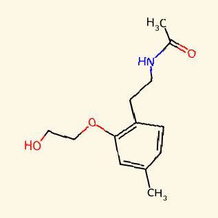 CC(=O)NCCc1ccc(C)cc1OCCO